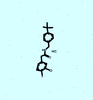 CC(C)(C)c1ccc(CNC(=O)Cc2ccc(F)c(Cl)c2)cc1.Cl